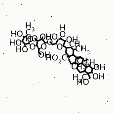 CC1OC(OC2C(CO)OC(OCC3OC(C4CC5(C(=O)O)CCC6(C)C(=CCC7C8(C)CC(O)C(O)C(C)(CO)C8CCC76C)C5C(C)C4C)C(O)C(O)C3O)C(O)C2O)C(O)C(O)C1O